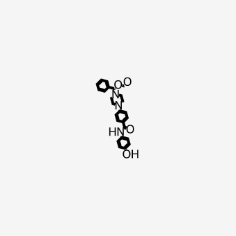 O=COC(c1ccccc1)N1CCN(c2ccc(C(=O)Nc3ccc(O)cc3)cc2)CC1